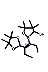 CC/C(B1OC(C)(C)C(C)(C)O1)=C(\CC)B1OC(C)(C)C(C)(C)C1O